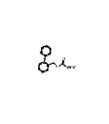 CCCCCCCCCC(=O)OCc1ccccc1-c1ccccc1